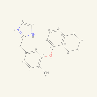 N#Cc1ccc(Cc2ncc[nH]2)cc1Oc1cccc2c1CCCC2